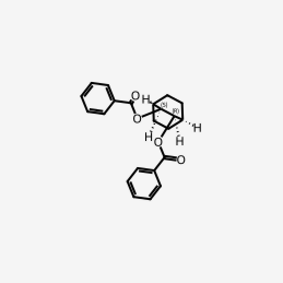 O=C(O[C@@H]1[C@H]2CC[C@H](CC2)[C@@H]1OC(=O)c1ccccc1)c1ccccc1